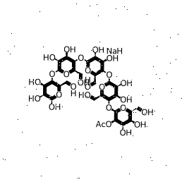 CC(=O)O[C@H]1[C@@H](O[C@H]2[C@H](O)[C@@H](O)[C@@H](O[C@H]3[C@H](O)[C@@H](O)[C@@H](O[C@H]4[C@H](O)[C@@H](O)[C@@H](O[C@H]5[C@H](O)[C@@H](O)[C@@H](O)O[C@@H]5CO)O[C@@H]4CO)O[C@@H]3CO)O[C@@H]2CO)O[C@H](CO)[C@@H](O)[C@@H]1O.[NaH]